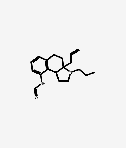 C=CCC12CCc3cccc(NC=O)c3C1CCN2CCC